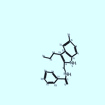 C=C(NCc1[nH]c2ccc(C)cc2c1CCC)c1ccccc1